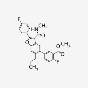 CCCc1cc2oc(-c3ccc(F)cc3)c(C(=O)NC)c2cc1-c1ccc(F)c(C(=O)OC)c1